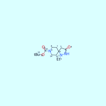 CCN1NC(=O)CC12CCN(C(=O)OC(C)(C)C)CC2